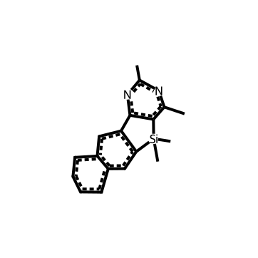 Cc1nc(C)c2c(n1)-c1cc3ccccc3cc1[Si]2(C)C